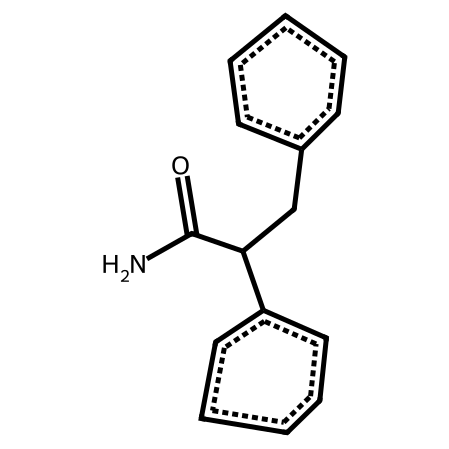 NC(=O)C(Cc1ccccc1)c1ccccc1